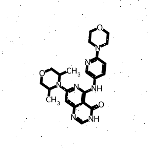 CC1COCC(C)N1c1cc2nc[nH]c(=O)c2c(Nc2ccc(N3CCOCC3)nc2)n1